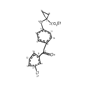 CCOC(=O)C1(Oc2ccc(C(=O)c3cccc(Cl)c3)cc2)CC1